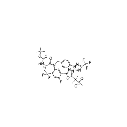 CC(C)(C)OC(=O)N[C@H]1CC(F)(F)c2cc(F)c(-c3nnc(C(C)(C)S(C)(=O)=O)o3)cc2N(Cc2ccc(-n3cnc(C(F)(F)F)n3)cc2)C1=O